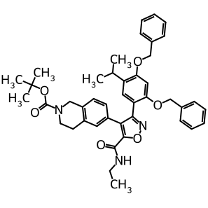 CCNC(=O)c1onc(-c2cc(C(C)C)c(OCc3ccccc3)cc2OCc2ccccc2)c1-c1ccc2c(c1)CCN(C(=O)OC(C)(C)C)C2